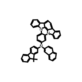 CC1(C)c2ccccc2-c2ccc(N(c3ccc4ccccc4c3)c3ccc4c(c3)n3c5ccccc5c5ccc6c7ccccc7n4c6c53)cc21